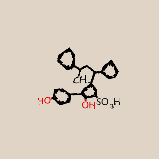 CC(CC(c1ccccc1)c1cc(-c2ccc(O)cc2)c(O)c(S(=O)(=O)O)c1)c1ccccc1